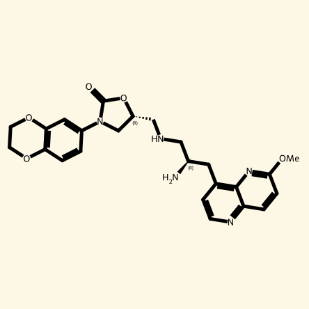 COc1ccc2nccc(C[C@@H](N)CNC[C@@H]3CN(c4ccc5c(c4)OCCO5)C(=O)O3)c2n1